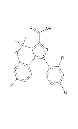 CC1(C)Oc2cc(I)ccc2-c2c1c(C(=O)O)nn2-c1ccc(Cl)cc1Cl